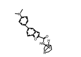 CN(C)c1ccc(-c2ccc3oc(C(=O)N[C@H]4CN5CCC4CC5)cc3c2)cc1